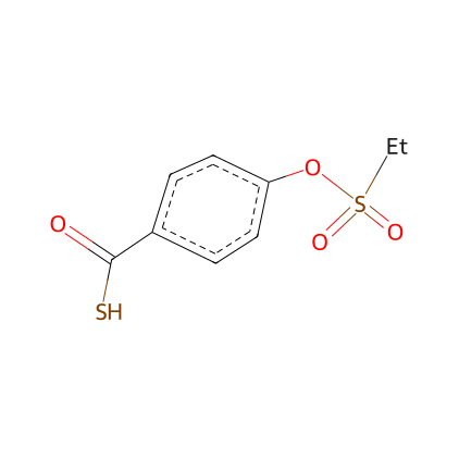 CCS(=O)(=O)Oc1ccc(C(=O)S)cc1